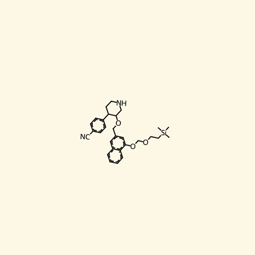 C[Si](C)(C)CCOCOc1cc(COC2CNCCC2c2ccc(C#N)cc2)cc2ccccc12